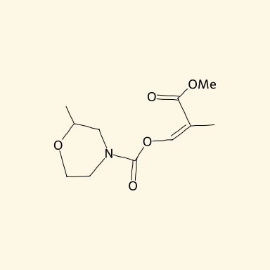 COC(=O)C(C)=COC(=O)N1CCOC(C)C1